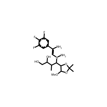 COC1OC(C)(C)OC1C(C(C)C(O)CO)N(N)/C=C(\N)c1cc(F)c(F)c(F)c1